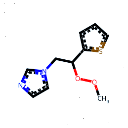 COOC(Cn1ccnc1)c1cccs1